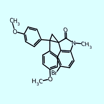 COc1ccc(C2(c3ccc(OC)cc3)CC23C(=O)N(C)c2ccc(Br)cc23)cc1